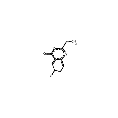 CCc1nc2c(c(=O)o1)=CC(F)CC=2